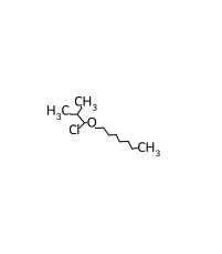 CCCCCCCCOC(Cl)C(CC)CC